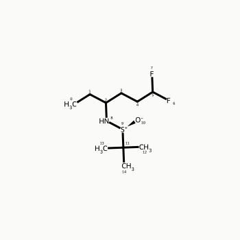 CCC(CCC(F)F)N[S@@+]([O-])C(C)(C)C